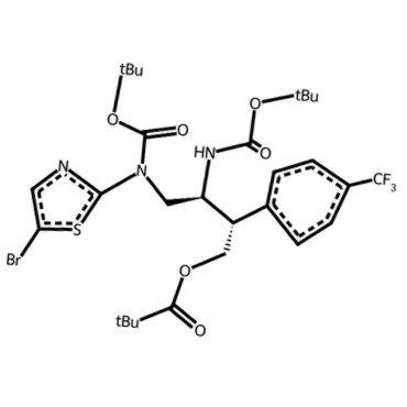 CC(C)(C)OC(=O)N[C@H](CN(C(=O)OC(C)(C)C)c1ncc(Br)s1)[C@@H](COC(=O)C(C)(C)C)c1ccc(C(F)(F)F)cc1